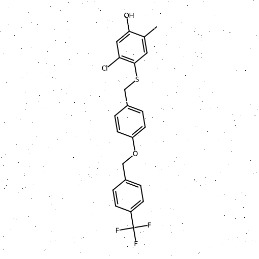 Cc1cc(SCc2ccc(OCc3ccc(C(F)(F)F)cc3)cc2)c(Cl)cc1O